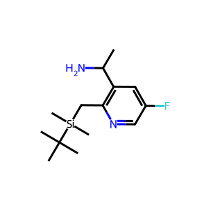 CC(N)c1cc(F)cnc1C[Si](C)(C)C(C)(C)C